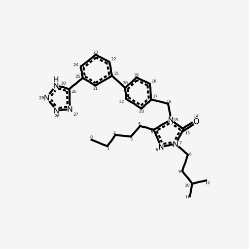 CCCCCc1nn(CCC(C)C)c(=O)n1Cc1ccc(-c2cccc(-c3nnn[nH]3)c2)cc1